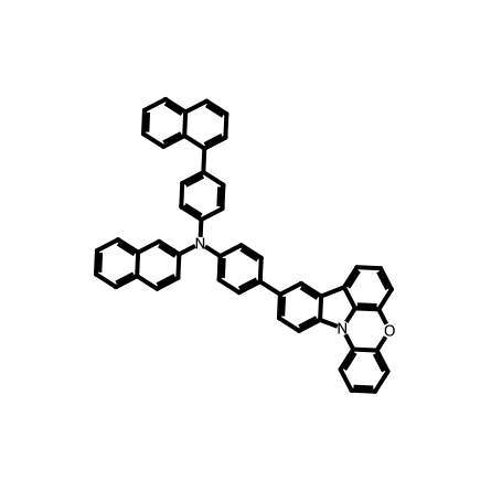 c1ccc2c(c1)Oc1cccc3c4cc(-c5ccc(N(c6ccc(-c7cccc8ccccc78)cc6)c6ccc7ccccc7c6)cc5)ccc4n-2c13